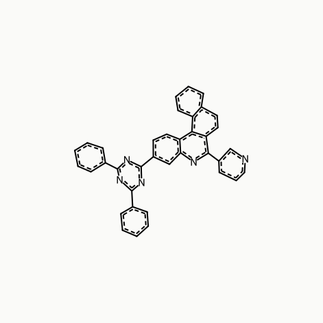 c1ccc(-c2nc(-c3ccccc3)nc(-c3ccc4c(c3)nc(-c3cccnc3)c3ccc5ccccc5c34)n2)cc1